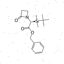 CC(C)(C)[Si](C)(C)[C@@H](C(=O)OCc1ccccc1)N1CCC1=O